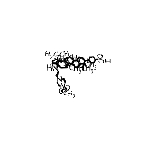 C=C(C)[C@@H]1CC[C@]2(NCCN3CCN(S(C)(=O)=O)CC3)CC[C@]3(C)[C@H](CC[C@@H]4[C@@]5(C)CC=C(C6=CC[C@H](C(=O)O)CC6)C(C)(C)[C@@H]5CC[C@]43C)[C@@H]12